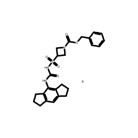 O=C(Nc1c2c(cc3c1CCC3)CCC2)NS(=O)(=O)C1CN(C(=O)OCc2ccccc2)C1.[K]